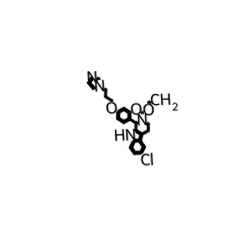 C=COC(=O)N1CCc2c([nH]c3ccc(Cl)cc23)C1c1ccc(OCCCn2ccnc2)cc1